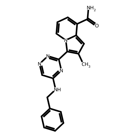 Cc1cc2c(C(N)=O)cccn2c1-c1nncc(NCc2ccccc2)n1